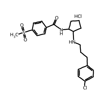 CS(=O)(=O)c1ccc(C(=O)NC2CCCC2NCCCc2ccc(Cl)cc2)cc1.Cl